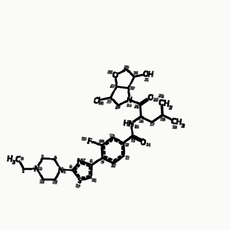 CCN1CCN(c2nc(-c3ccc(C(=O)NC(CC(C)C)C(=O)N4CC(Cl)C5OCC(O)C54)cc3F)cs2)CC1